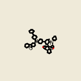 c1ccc(-c2ccc(N(c3ccc(-c4ccc5c(c4)C4(c6ccccc6-c6ccccc64)c4ccccc4N5c4ccccc4)cc3)c3ccc4oc5ccccc5c4c3)cc2)cc1